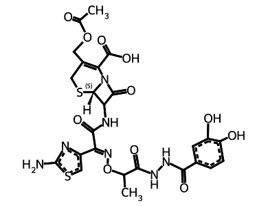 CC(=O)OCC1=C(C(=O)O)N2C(=O)C(NC(=O)C(=NOC(C)C(=O)NNC(=O)c3ccc(O)c(O)c3)c3csc(N)n3)[C@@H]2SC1